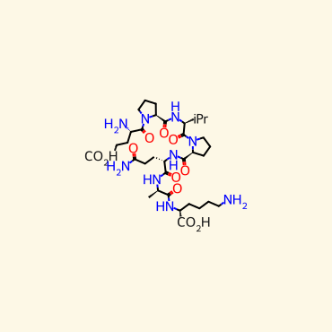 CC(C)[C@H](NC(=O)[C@@H]1CCCN1C(=O)[C@@H](N)CCC(=O)O)C(=O)N1CCC[C@H]1C(=O)N[C@@H](CCC(N)=O)C(=O)N[C@H](C)C(=O)N[C@@H](CCCCN)C(=O)O